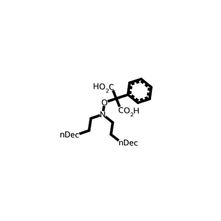 CCCCCCCCCCCCN(CCCCCCCCCCCC)OC(C(=O)O)(C(=O)O)c1ccccc1